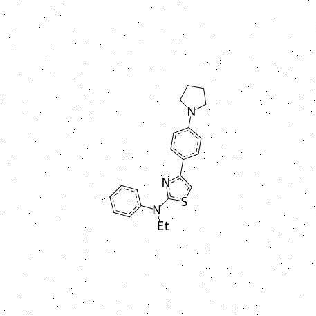 CCN(c1ccccc1)c1nc(-c2ccc(N3CCCC3)cc2)cs1